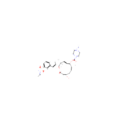 CCNS(=O)(=O)c1cccc(/C=C(\C)[C@H]2OC(=O)C[C@@H](O)CC[C@@H](C)[C@H](OC(=O)N3CCN(C)CC3)/C=C/[C@@H]2C)c1